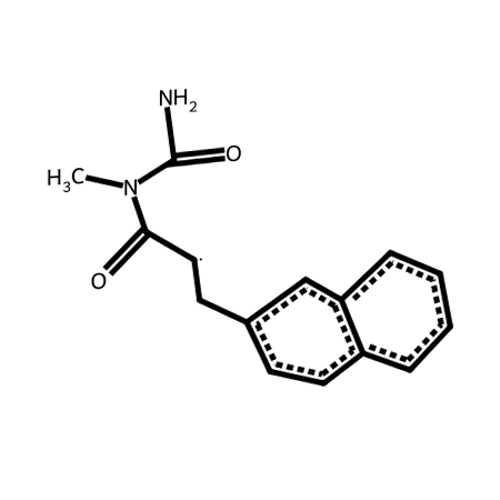 CN(C(N)=O)C(=O)[CH]Cc1ccc2ccccc2c1